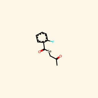 CC(=O)C[Se]C(=O)c1ccccc1F